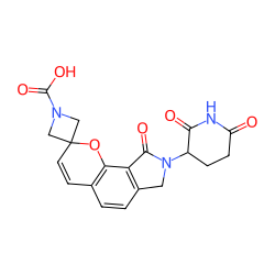 O=C1CCC(N2Cc3ccc4c(c3C2=O)OC2(C=C4)CN(C(=O)O)C2)C(=O)N1